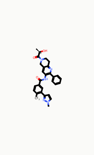 C[C@@H](O)C(=O)N1CCc2nc(-c3ccccc3)c(NC(=O)c3ccc(C(F)(F)F)c(-c4ccn(C)n4)c3)cc2C1